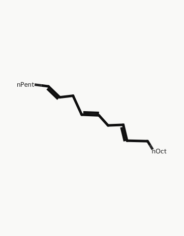 [CH2]CCCCC=CCC=CCC=CCCCCCCCCC